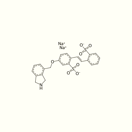 O=S(=O)([O-])c1ccccc1C=Cc1ccc(OCc2cccc3c2CNC3)cc1S(=O)(=O)[O-].[Na+].[Na+]